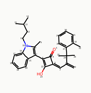 C=C(/C=C1\C(=O)C(c2c(C)n(CCC(C)C)c3ccccc23)=C1O)C(C)(C)c1ccccc1C